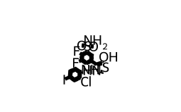 NS(=O)(=O)c1cc(C2=C(O)SCN2)c(Nc2ccc(I)cc2Cl)c(F)c1F